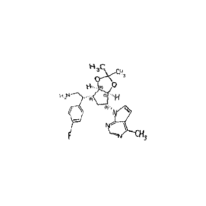 Cc1ncnc2c1ccn2[C@@H]1C[C@H](C(CN)c2ccc(F)cc2)[C@H]2OC(C)(C)O[C@H]21